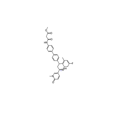 COC(=O)CC(=O)Nc1ccc(-c2ccc(C(C/C(=N\O)c3ccc(=O)n(C)c3)C3=C(C)C=C(F)CC3)cc2)cc1